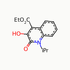 CCOC(=O)c1c(O)c(=O)n(C(C)C)c2ccccc12